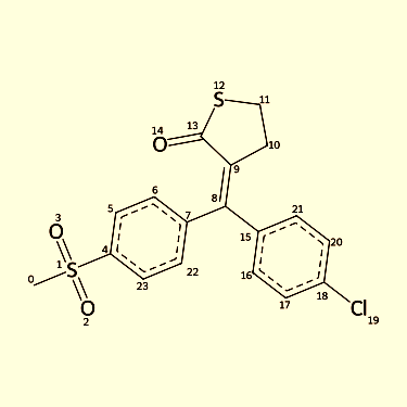 CS(=O)(=O)c1ccc(/C(=C2/CCSC2=O)c2ccc(Cl)cc2)cc1